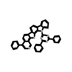 c1ccc(-c2nc(-c3ccccc3)nc(-n3c4ccccc4c4ccc5c6ccc7c(-c8ccccc8)cncc7c6sc5c43)n2)cc1